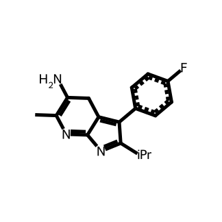 CC1=C(N)CC2=C(c3ccc(F)cc3)C(C(C)C)=NC2=N1